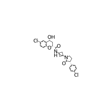 O=C(NC12CC(N3CC[C@H](c4ccc(Cl)cc4)C3=O)(C1)C2)[C@H]1C[C@@H](O)c2cc(Cl)ccc2O1